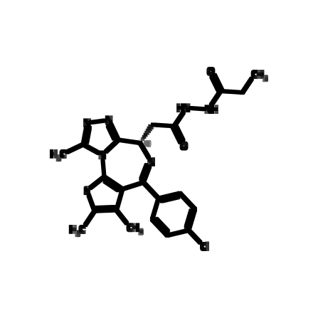 CCC(=O)NNC(=O)C[C@@H]1N=C(c2ccc(Cl)cc2)c2c(sc(C)c2C)-n2c(C)nnc21